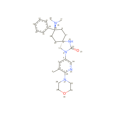 Cc1cc(N2C[C@]3(CC[C@](c4ccccc4)(N(C)C)CC3)NC2=O)cnc1N1CCOCC1